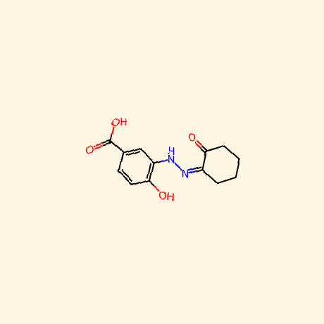 O=C1CCCCC1=NNc1cc(C(=O)O)ccc1O